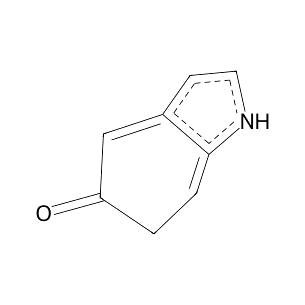 O=C1C=c2cc[nH]c2=CC1